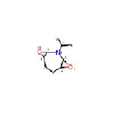 CC(C)N1C2OC2CCC2OC21